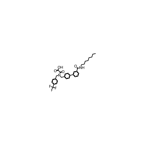 CCCCCCCCNC(=O)c1cccc(-c2ccc(CN(Cc3ccc(C(F)(F)F)cc3)C(=O)C(=O)O)cc2)c1